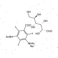 CC(=O)Nc1c(I)c(NC(C)=O)c(I)c(C(=O)[O-])c1I.O=C[C@H](O)[C@@H](O)[C@H](O)[C@H](O)CO.[Na+]